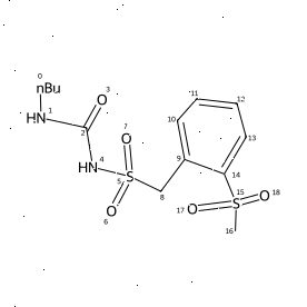 CCCCNC(=O)NS(=O)(=O)Cc1ccccc1S(C)(=O)=O